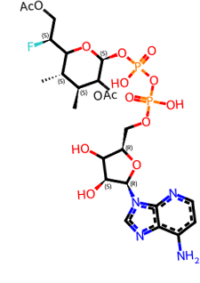 CC(=O)OC[C@H](F)C1O[C@@H](OP(=O)(O)OP(=O)(O)OC[C@H]2O[C@@H](n3cnc4c(N)ccnc43)[C@@H](O)C2O)C(OC(C)=O)[C@@H](C)[C@@H]1C